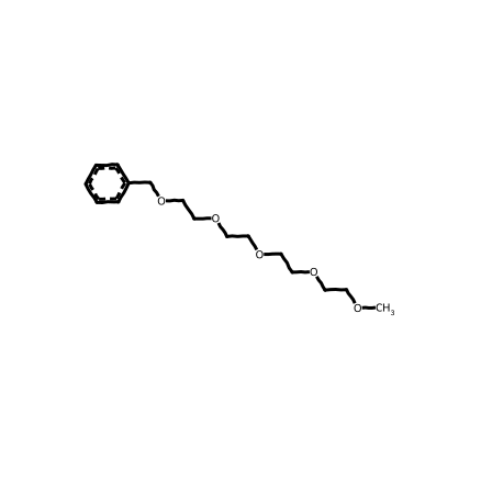 COCCOCCOCCOCCOCc1ccccc1